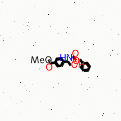 COC(=O)c1ccc(C(CO)NC(=O)OCc2ccccc2)cc1